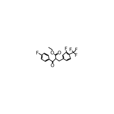 CCOC(=O)C(Cc1ccc(C(F)(F)F)c(F)c1)C(=O)c1ccc(F)cc1